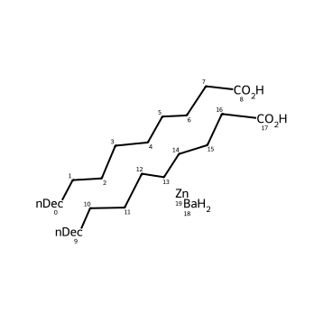 CCCCCCCCCCCCCCCCCC(=O)O.CCCCCCCCCCCCCCCCCC(=O)O.[BaH2].[Zn]